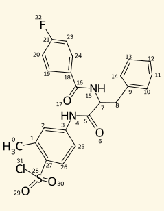 Cc1cc(NC(=O)C(Cc2ccccc2)NC(=O)c2ccc(F)cc2)ccc1S(=O)(=O)Cl